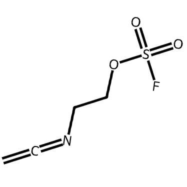 C=C=NCCOS(=O)(=O)F